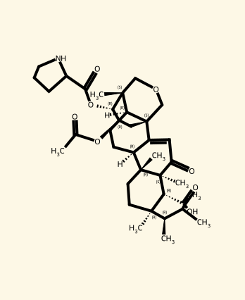 CC(=O)O[C@@H]1C[C@]23COC[C@](C)([C@@H]2CC[C@H]2C3=CC(=O)[C@@]3(C)[C@H](C(=O)O)[C@@](C)([C@H](C)C(C)C)CC[C@]23C)[C@H]1OC(=O)C1CCCN1